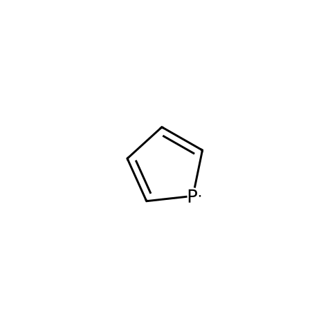 C1=C[P]C=C1